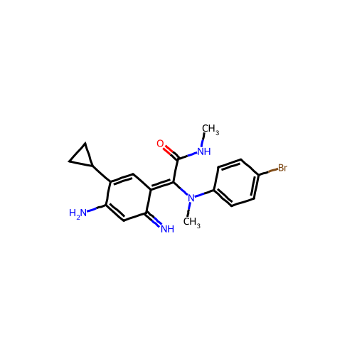 CNC(=O)/C(=C1\C=C(C2CC2)C(N)=CC1=N)N(C)c1ccc(Br)cc1